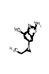 CCC1CN1c1cc(O)c2nc(N)sc2c1